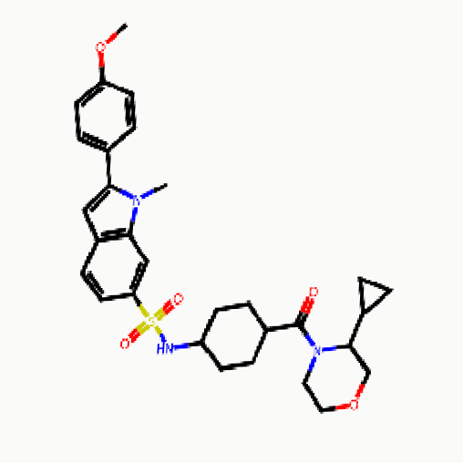 COc1ccc(-c2cc3ccc(S(=O)(=O)NC4CCC(C(=O)N5CCOCC5C5CC5)CC4)cc3n2C)cc1